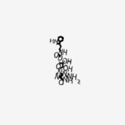 Nc1nc2c(ncn2[C@@H]2O[C@H](COC(=O)NCCc3c[nH]c4ccccc34)[C@@H](O)[C@H]2O)c(=O)[nH]1